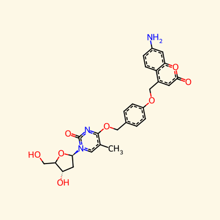 Cc1cn([C@H]2C[C@H](O)C(CO)O2)c(=O)nc1OCc1ccc(OCc2cc(=O)oc3cc(N)ccc23)cc1